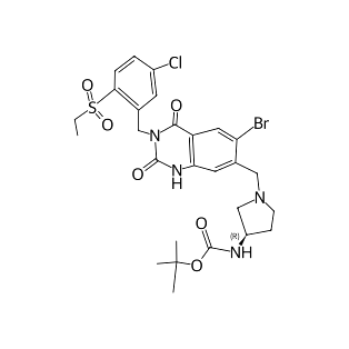 CCS(=O)(=O)c1ccc(Cl)cc1Cn1c(=O)[nH]c2cc(CN3CC[C@@H](NC(=O)OC(C)(C)C)C3)c(Br)cc2c1=O